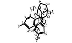 Cc1ccc(C(=O)N2[C@@H]3CC[C@H]2C[C@@H](c2ccc(F)cc2)C3)c(C)c1